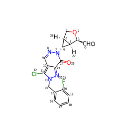 O=C[C@@H]1OC[C@H]2[C@@H]1[C@@H]2n1ncc2c(Cl)n(Cc3ccccc3F)nc2c1=O